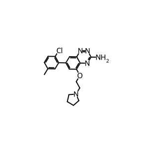 Cc1ccc(Cl)c(-c2cc(OCCN3CCCC3)c3nc(N)nnc3c2)c1